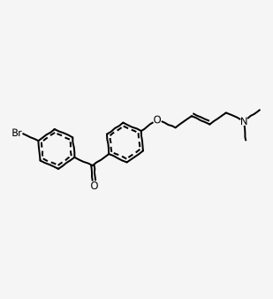 CN(C)CC=CCOc1ccc(C(=O)c2ccc(Br)cc2)cc1